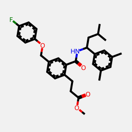 COC(=O)CCc1ccc(COc2ccc(F)cc2)cc1C(=O)NC(CC(C)C)c1cc(C)cc(C)c1